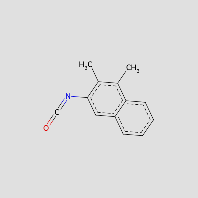 Cc1c(N=C=O)cc2ccccc2c1C